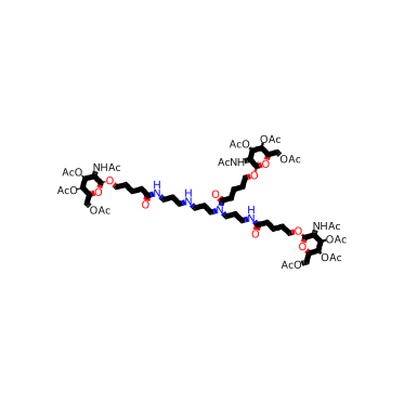 CC(=O)NC1[C@H](OCCCCC(=O)NCCCNCCCN(CCCNC(=O)CCCCO[C@@H]2OC(COC(C)=O)[C@H](OC(C)=O)[C@H](OC(C)=O)C2NC(C)=O)C(=O)CCCCO[C@@H]2OC(COC(C)=O)[C@H](OC(C)=O)[C@H](OC(C)=O)C2NC(C)=O)OC(COC(C)=O)[C@H](OC(C)=O)[C@@H]1OC(C)=O